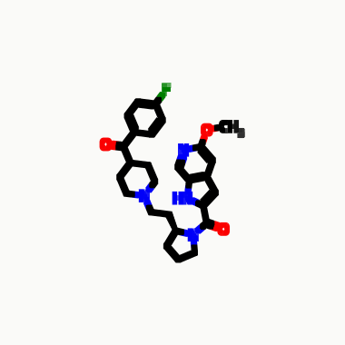 COc1cc2cc(C(=O)N3CCC[C@H]3CCN3CCC(C(=O)c4ccc(F)cc4)CC3)[nH]c2cn1